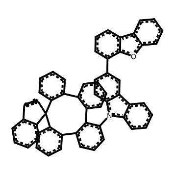 c1ccc2c(c1)-c1ccccc1C1(c3ccccc3-c3ccccc31)c1ccccc1-c1cccc(-n3c4ccccc4c4cc(-c5cccc6c5oc5ccccc56)ccc43)c1-2